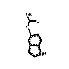 CC(C)(C)C(=O)Oc1ccc2[nH]ccc2c1